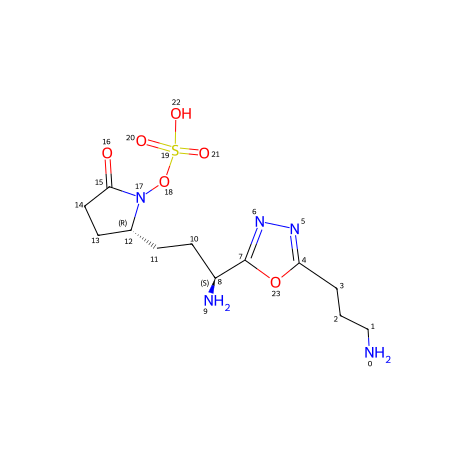 NCCCc1nnc([C@@H](N)CC[C@@H]2CCC(=O)N2OS(=O)(=O)O)o1